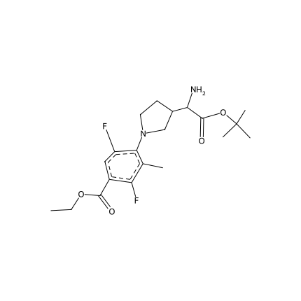 CCOC(=O)c1cc(F)c(N2CCC(C(N)C(=O)OC(C)(C)C)C2)c(C)c1F